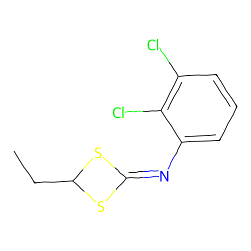 CCC1SC(=Nc2cccc(Cl)c2Cl)S1